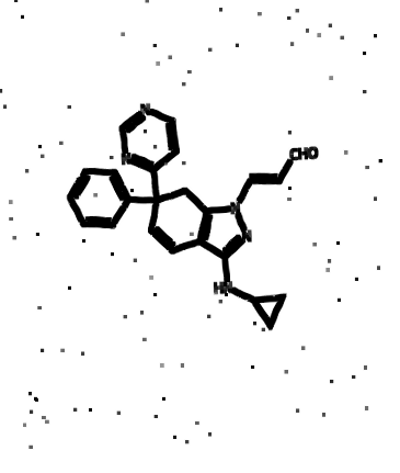 O=CC=Cn1nc(NC2CC2)c2c1CC(c1ccccc1)(c1ccncn1)C=C2